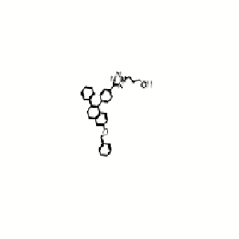 OCCCn1nnc(-c2ccc(C3=C(c4ccccc4)CCc4cc(OCc5ccccc5)ccc43)cc2)n1